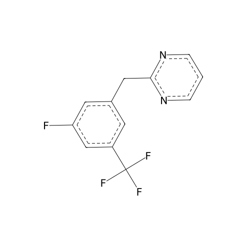 Fc1cc(Cc2ncccn2)cc(C(F)(F)F)c1